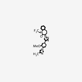 COC1=CC(c2cn([C@@H]3CCc4ccccc4N(CC(F)(F)F)C3=O)nn2)CC=C1n1cnc(C)c1